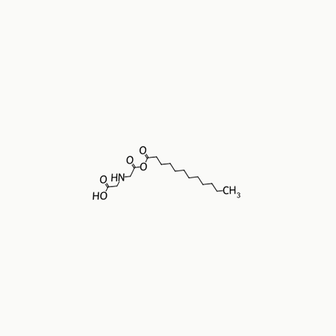 CCCCCCCCCCCC(=O)OC(=O)CNCC(=O)O